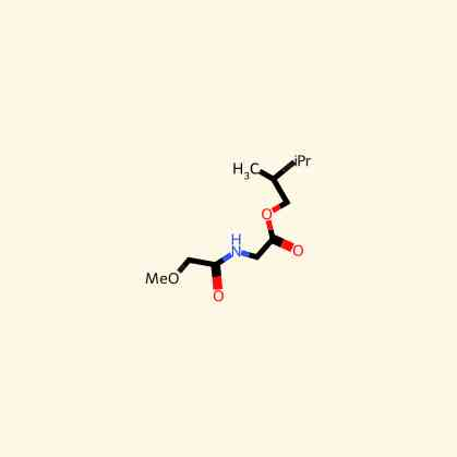 COCC(=O)NCC(=O)OCC(C)C(C)C